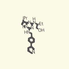 CC[C@@H](CO)Nc1nc(NCc2ccc(-c3cccnc3)cc2)n2ncc(C(C)C)c2n1